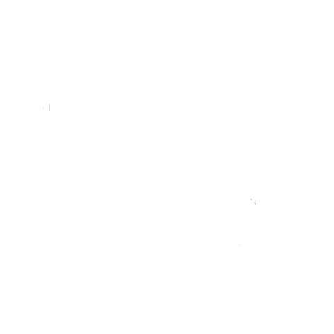 O=C(O)N1CCC(c2cccc3c2OCC(c2ccc(Cl)cc2)O3)CC1